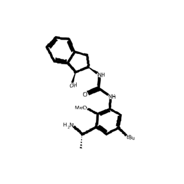 COc1c(NC(=O)N[C@@H]2Cc3ccccc3[C@@H]2O)cc(C(C)(C)C)cc1[C@H](C)N